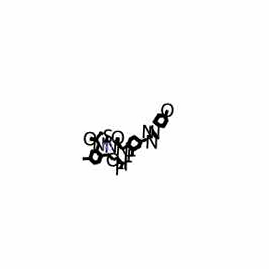 COc1ccc(-n2cnc(-c3ccc(NC(=O)/N=C4\SCC(=O)N4c4cc(C)ccc4COCC(F)F)c(F)c3)n2)cc1